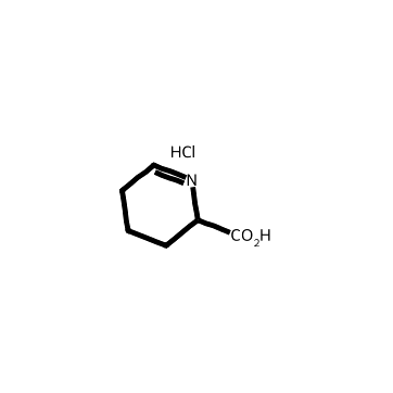 Cl.O=C(O)C1CCCC=N1